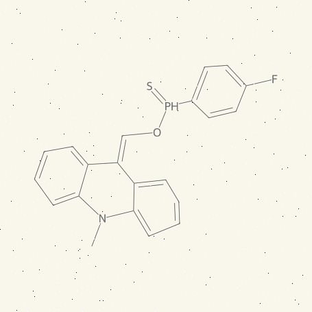 CN1c2ccccc2C(=CO[PH](=S)c2ccc(F)cc2)c2ccccc21